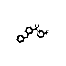 O=C(C1=CC[CH]C(Cc2ccccc2)=C1)N1CCCC(F)C1